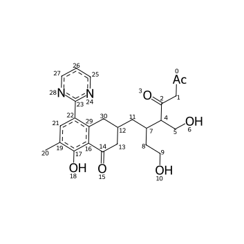 CC(=O)CC(=O)C(CO)C(CCO)CC1CC(=O)c2c(O)c(C)cc(-c3ncccn3)c2C1